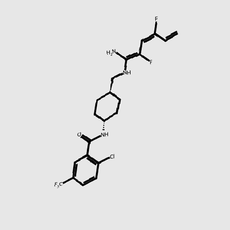 C=C/C(F)=C\C(F)=C(/N)NC[C@H]1CC[C@H](NC(=O)c2cc(C(F)(F)F)ccc2Cl)CC1